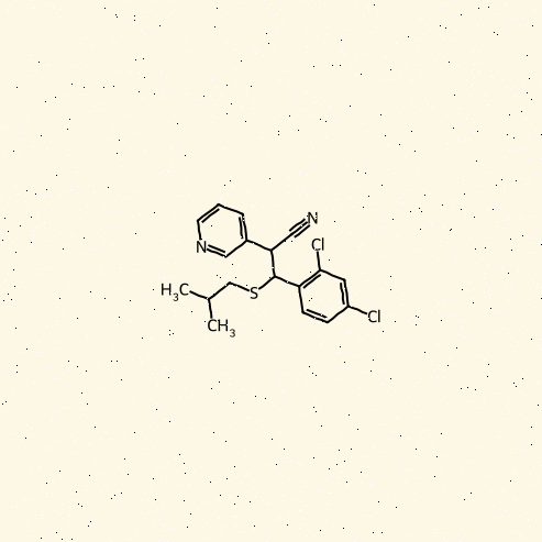 CC(C)CSC(c1ccc(Cl)cc1Cl)C(C#N)c1cccnc1